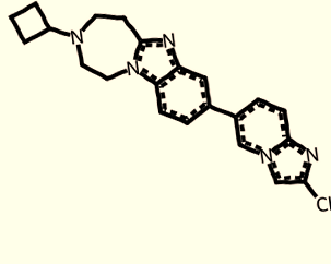 Cc1cn2cc(-c3ccc4c(c3)nc3n4CCN(C4CCC4)CC3)ccc2n1